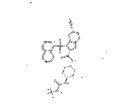 CC(C)(C)OC(=O)N[C@H]1CC[C@H](NC(=O)c2cc3ccc(C#N)cc3n2S(=O)(=O)c2cccc3ccccc23)CC1